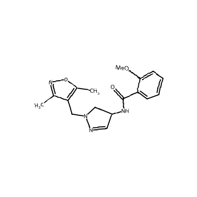 COc1ccccc1C(=O)NC1C=NN(Cc2c(C)noc2C)C1